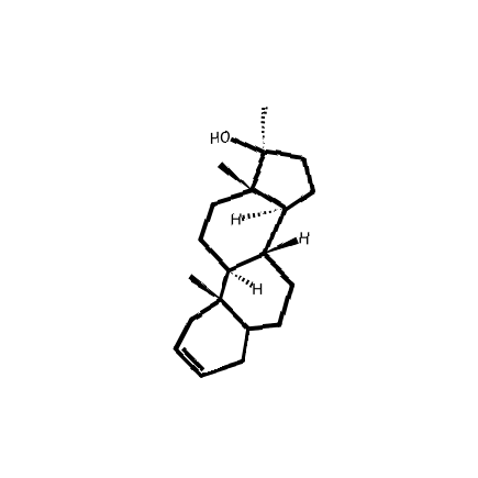 C[C@]12CC=CCC1CC[C@@H]1[C@@H]2CC[C@@]2(C)[C@H]1CC[C@]2(C)O